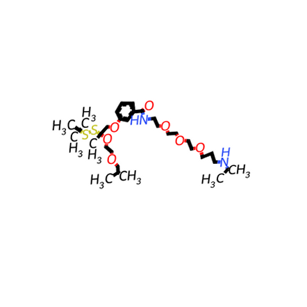 CC(C)COCCOC(C)(COc1cccc(C(=O)NCCOCCOCCOCCCNC(C)C)c1)SSC(C)(C)C